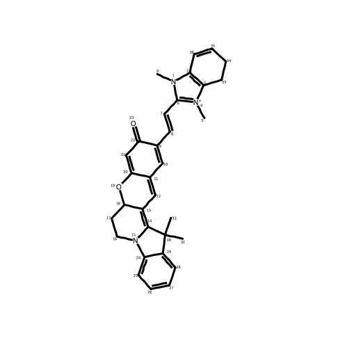 Cn1c2c([n+](C)c1/C=C/C1=CC3=CC4=C5N(CCC4OC3=CC1=O)c1ccccc1C5(C)C)CCC=C2